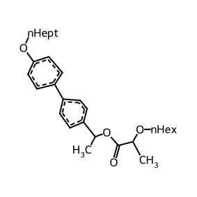 CCCCCCCOc1ccc(-c2ccc(C(C)OC(=O)C(C)OCCCCCC)cc2)cc1